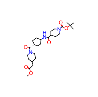 COC(=O)CC1CCN(C(=O)[C@H]2CC[C@H](NC(=O)C3CCN(C(=O)OC(C)(C)C)CC3)CC2)CC1